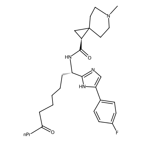 CCCC(=O)CCCCC[C@H](NC(=O)[C@H]1CC12CCN(C)CC2)c1ncc(-c2ccc(F)cc2)[nH]1